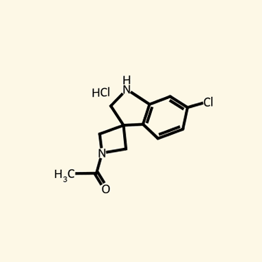 CC(=O)N1CC2(CNc3cc(Cl)ccc32)C1.Cl